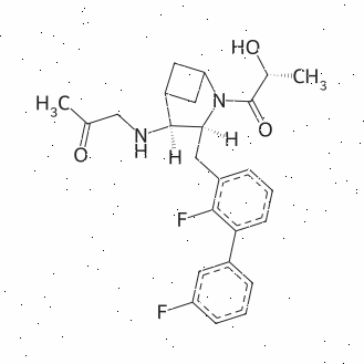 CC(=O)CN[C@H]1C2CC(C2)N(C(=O)[C@@H](C)O)[C@H]1Cc1cccc(-c2cccc(F)c2)c1F